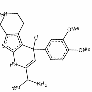 COc1ccc(C2(Cl)C=C(C(N)C(C)(C)C)Nc3sc4c(c32)CCNC4)cc1OC